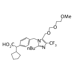 CCCCc1nc(C(F)(F)F)c(COCOCCOC)n1Cc1ccc(C(C(=O)O)C2CCCC2)cc1